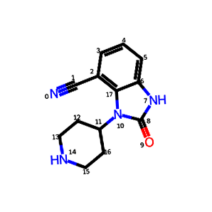 N#Cc1cccc2[nH]c(=O)n(C3CCNCC3)c12